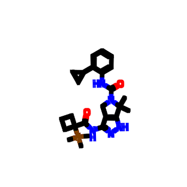 CC1(C)c2[nH]nc(NC(=O)C3(S(C)(C)C)CCC3)c2CN1C(=O)Nc1ccccc1C1CC1